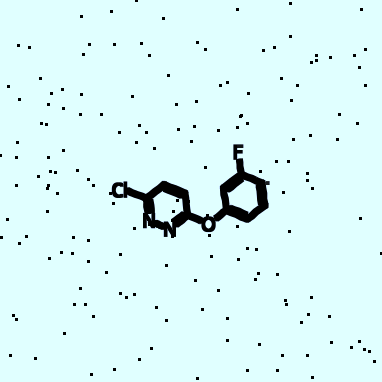 Fc1[c]ccc(Oc2ccc(Cl)nn2)c1